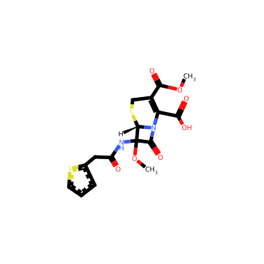 COC(=O)C1=C(C(=O)O)N2C(=O)C(NC(=O)Cc3cccs3)(OC)[C@@H]2SC1